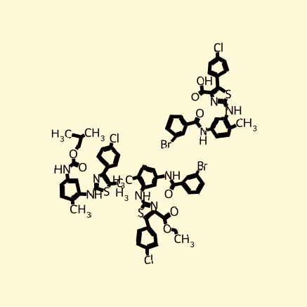 CCOC(=O)c1nc(Nc2cc(NC(=O)c3cccc(Br)c3)ccc2C)sc1-c1ccc(Cl)cc1.Cc1ccc(NC(=O)OCC(C)C)cc1Nc1nc(-c2ccc(Cl)cc2)c(C)s1.Cc1ccc(NC(=O)c2cccc(Br)c2)cc1Nc1nc(C(=O)O)c(-c2ccc(Cl)cc2)s1